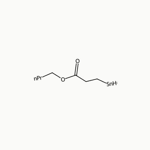 CCCCOC(=O)C[CH2][SnH]